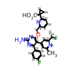 Cc1cc(-c2c(OCc3cccc(C4(C(=O)O)CC4)n3)nc(N)nc2-c2ccc(F)cc2)cc(C(F)F)n1